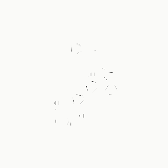 OC[C@H]1O[C@@H](c2ccc(-c3ccc([C@@H]4[C@@H](CCC[C@@H](O)c5ccc(F)cc5)NC(=S)N4c4ccccc4)c(O)c3)cc2)[C@H](O)[C@@H](O)[C@@H]1O